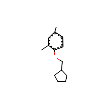 Cc1ccc(OCC2CCCC2)c(C)c1